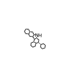 c1ccc(-c2cc3[nH]c4cc5ccccc5cc4c3c3ccccc23)cc1